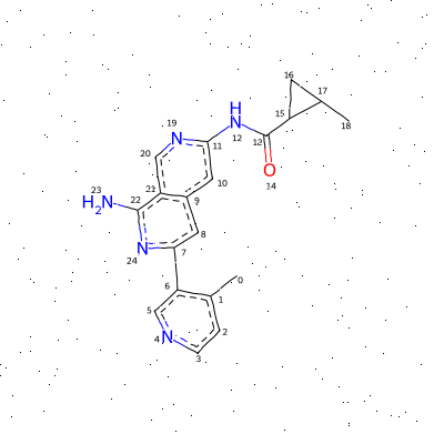 Cc1ccncc1-c1cc2cc(NC(=O)C3CC3C)ncc2c(N)n1